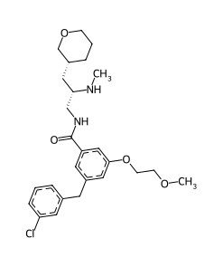 CN[C@H](CNC(=O)c1cc(Cc2cccc(Cl)c2)cc(OCCOC)c1)C[C@H]1CCCOC1